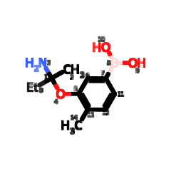 CCC(C)(N)Oc1cc(B(O)O)ccc1C